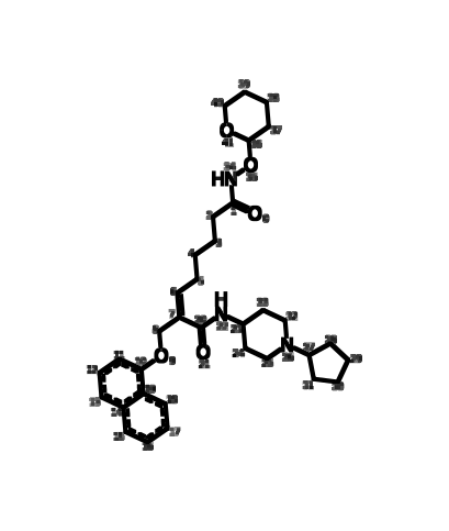 O=C(CCCCC=C(COc1cccc2ccccc12)C(=O)NC1CCN(C2CCCC2)CC1)NOC1CCCCO1